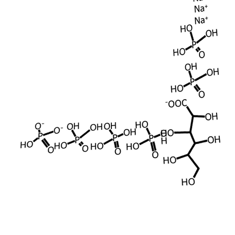 O=C([O-])C(O)C(O)C(O)C(O)CO.O=P(O)(O)O.O=P(O)(O)O.O=P(O)(O)O.O=P(O)(O)O.O=P(O)(O)O.O=P([O-])([O-])O.[Na+].[Na+].[Na+]